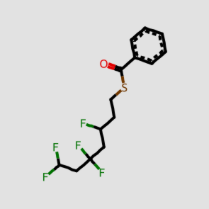 O=C(SCCC(F)CC(F)(F)CC(F)F)c1ccccc1